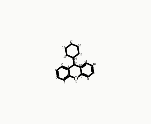 c1ccc2c(c1)Oc1ccccc1C2C1CCCCC1